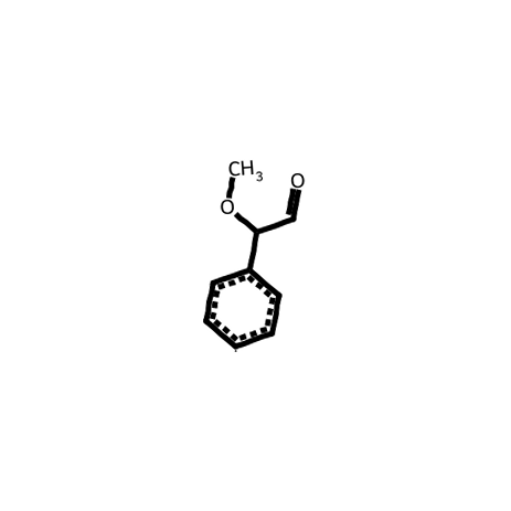 COC(C=O)c1cc[c]cc1